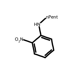 CCCCCNc1ccccc1[N+](=O)[O-]